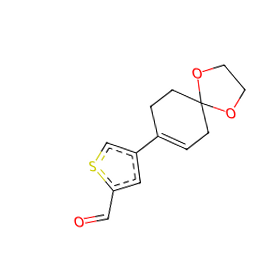 O=Cc1cc(C2=CCC3(CC2)OCCO3)cs1